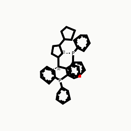 CN(C)[C@@H](c1ccccc1P(c1ccccc1)c1ccccc1)C1CCC(C2CCCC2)[C@@H]1P(c1ccccc1)c1ccccc1